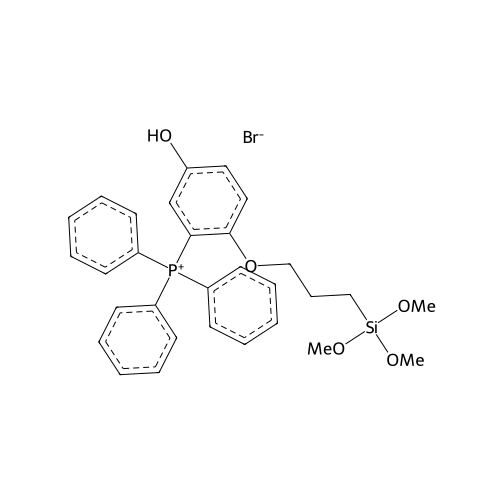 CO[Si](CCCOc1ccc(O)cc1[P+](c1ccccc1)(c1ccccc1)c1ccccc1)(OC)OC.[Br-]